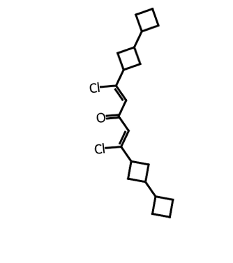 O=C(C=C(Cl)C1CC(C2CCC2)C1)C=C(Cl)C1CC(C2CCC2)C1